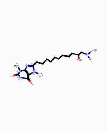 CCCCCCN(CC(O)CCCCCCCCCc1nc2c(c(=O)[nH]c(=O)n2C)n1C)C(C)=O